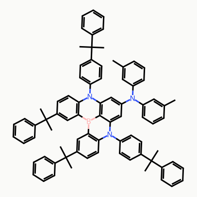 Cc1cccc(N(c2cccc(C)c2)c2cc3c4c(c2)N(c2ccc(C(C)(C)c5ccccc5)cc2)c2ccc(C(C)(C)c5ccccc5)cc2B4c2cc(C(C)(C)c4ccccc4)ccc2N3c2ccc(C(C)(C)c3ccccc3)cc2)c1